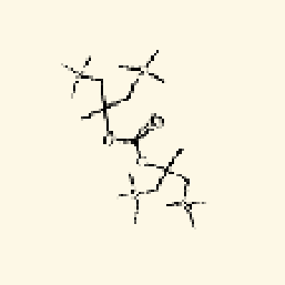 CC(C[Si](C)(C)C)(C[Si](C)(C)C)OC(=O)OC(C)(C[Si](C)(C)C)C[Si](C)(C)C